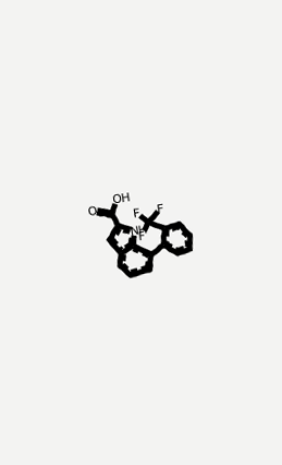 O=C(O)c1cc2cccc(-c3ccccc3C(F)(F)F)c2[nH]1